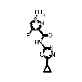 Cn1cc(F)c(C(=O)Nc2nnc(C3CC3)o2)n1